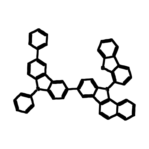 c1ccc(-c2ccc3c(c2)c2cc(-c4ccc5c(c4)c4ccc6ccccc6c4n5-c4cccc5c4oc4ccccc45)ccc2n3-c2ccccc2)cc1